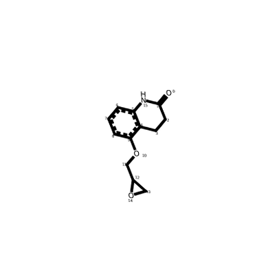 O=C1CCc2c(cccc2OCC2CO2)N1